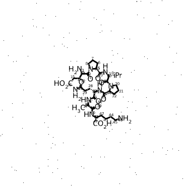 CC(C)[C@@H](NC(=O)[C@@H]1CCCN1C(=O)[C@@H](N)CCC(=O)O)C(=O)N1CCC[C@H]1C(=O)N[C@@H](CCC(N)=O)C(=O)N[C@@H](C)C(=O)N[C@@H](CCCCN)C(=O)O